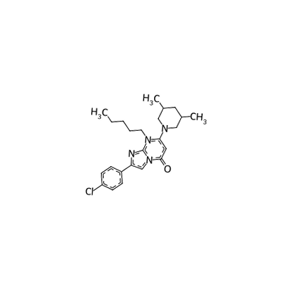 CCCCCn1c(N2CC(C)CC(C)C2)cc(=O)n2cc(-c3ccc(Cl)cc3)nc12